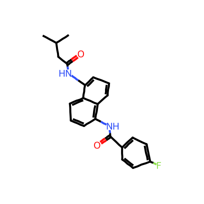 CC(C)CC(=O)Nc1cccc2c(NC(=O)c3ccc(F)cc3)cccc12